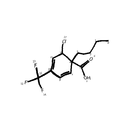 CCCCC1(C(=O)O)C=CC(C(F)(F)F)=CC1Cl